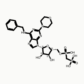 O=P(O)(O)CP(=O)(O)OC[C@H]1O[C@@H](n2cnc3c(NCc4ccccc4)nc(N4CCOCC4)nc32)[C@H](O)[C@@H]1O